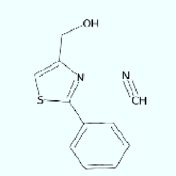 C#N.OCc1csc(-c2ccccc2)n1